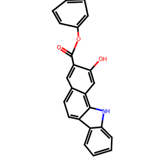 O=C(Oc1ccccc1)c1cc2ccc3c4ccccc4[nH]c3c2cc1O